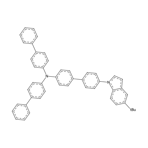 CC(C)(C)c1ccc2c(ccn2-c2ccc(-c3ccc(N(c4ccc(-c5ccccc5)cc4)c4ccc(-c5ccccc5)cc4)cc3)cc2)c1